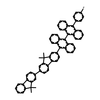 CC1(C)c2ccccc2-c2ccc(-c3ccc4c(c3)C(C)(C)c3cc(-c5c6ccccc6c(-c6c7ccccc7c(-c7ccc(F)cc7)c7ccccc67)c6ccccc56)ccc3-4)cc21